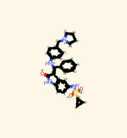 O=C1Nc2ccc(NS(=O)(=O)C3CC3)cc2/C1=C(/Nc1ccc(CN2CCCC2)cc1)c1ccccc1